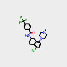 CN1CCN(c2ccc(Br)c3c2CC(NC(=O)c2ccc(C(F)(F)F)cc2)CC3)CC1